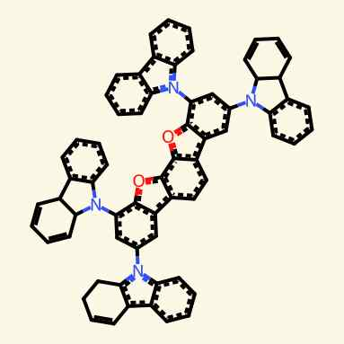 C1=CC2c3ccccc3N(c3cc(-n4c5ccccc5c5ccccc54)c4oc5c(ccc6c7cc(-n8c9c(c%10ccccc%108)C=CCC9)cc(N8c9ccccc9C9C=CC=CC98)c7oc65)c4c3)C2C=C1